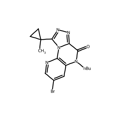 CCCCn1c(=O)c2nnc(C3(C)CC3)n2c2ncc(Br)cc21